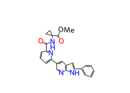 COC(=O)C1(NC(=O)c2cccc(-c3cnc4[nH]c(-c5ccccc5)cc4c3)n2)CC1